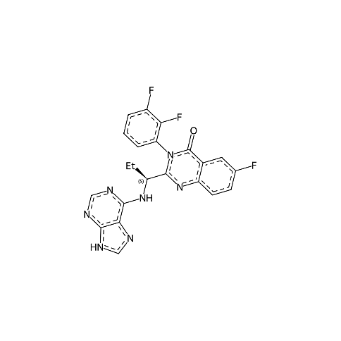 CC[C@H](Nc1ncnc2[nH]cnc12)c1nc2ccc(F)cc2c(=O)n1-c1cccc(F)c1F